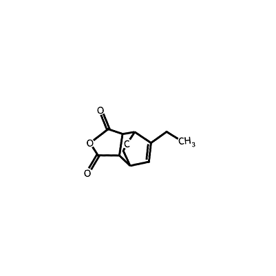 CCC1=CC2CCC1C1C(=O)OC(=O)C21